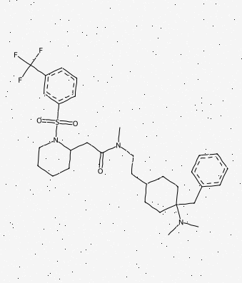 CN(CCC1CCC(Cc2ccccc2)(N(C)C)CC1)C(=O)CC1CCCCN1S(=O)(=O)c1cccc(C(F)(F)F)c1